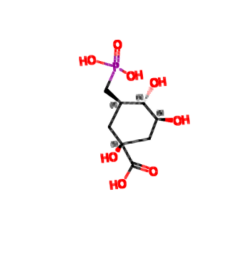 O=C(O)[C@]1(O)C[C@@H](CP(=O)(O)O)[C@H](O)[C@@H](O)C1